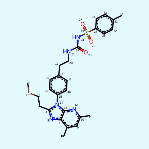 CSCCc1nc2c(C)cc(C)nc2n1-c1ccc(CCNC(=O)NS(=O)(=O)c2ccc(C)cc2)cc1